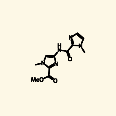 COC(=O)c1nc(NC(=O)c2nccn2C)cn1C